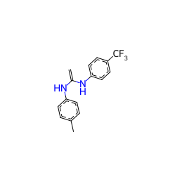 C=C(Nc1ccc(C)cc1)Nc1ccc(C(F)(F)F)cc1